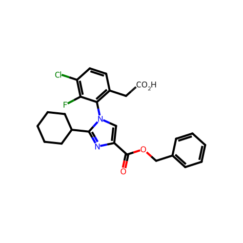 O=C(O)Cc1ccc(Cl)c(F)c1-n1cc(C(=O)OCc2ccccc2)nc1C1CCCCC1